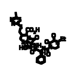 CCN1CCN(C(=O)NC(C(=O)N[C@]2(NO)C(=O)N3C(C(=O)O)=C(CSc4nnc(C)s4)CS[C@H]32)c2ccccc2)C(=O)C1=O